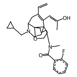 C=CC1=C(/C=C(\C)O)C23CCN(CC4CC4)C(C1)C21CCC(N(C)C(=O)c2ccccc2F)C3CO1